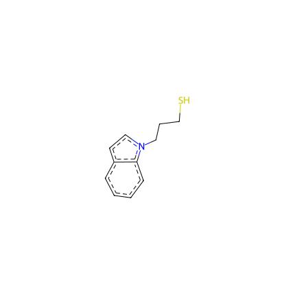 SCCCn1ccc2ccccc21